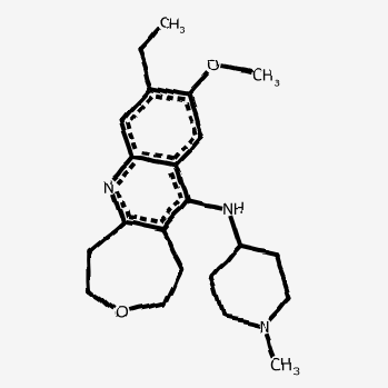 CCc1cc2nc3c(c(NC4CCN(C)CC4)c2cc1OC)CCOCC3